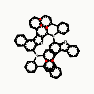 c1ccc(-c2ccccc2N(c2cccc3c2oc2ccccc23)c2cc3ccccc3c3c2sc2c(N(c4ccccc4-c4ccccc4)c4cccc5c4oc4ccccc45)cc4ccccc4c23)cc1